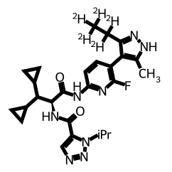 [2H]C([2H])([2H])C([2H])([2H])c1n[nH]c(C)c1-c1ccc(NC(=O)[C@@H](NC(=O)c2cnnn2C(C)C)C(C2CC2)C2CC2)nc1F